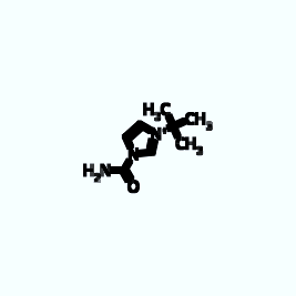 CC(C)(C)[n+]1ccn(C(N)=O)c1